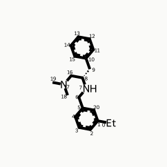 CCc1cccc(CN[C@@H](Cc2ccccc2)CN(C)C)c1